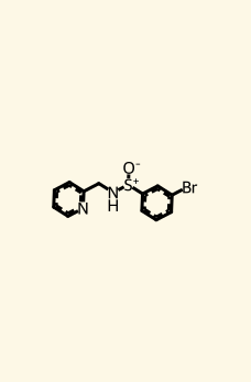 [O-][S+](NCc1ccccn1)c1cccc(Br)c1